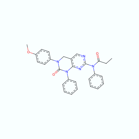 CCC(=O)N(c1ccccc1)c1ncc2c(n1)N(c1ccccc1)C(=O)N(c1ccc(OC)cc1)C2